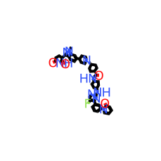 Cn1nc(C2CCC(=O)NC2=O)c2ccc(C3CCN(C[C@H]4CC[C@H](C(=O)NC5CCC(Nc6ncc(F)c(-c7cccc(-n8ccccc8=O)c7)n6)CC5)CC4)CC3)cc21